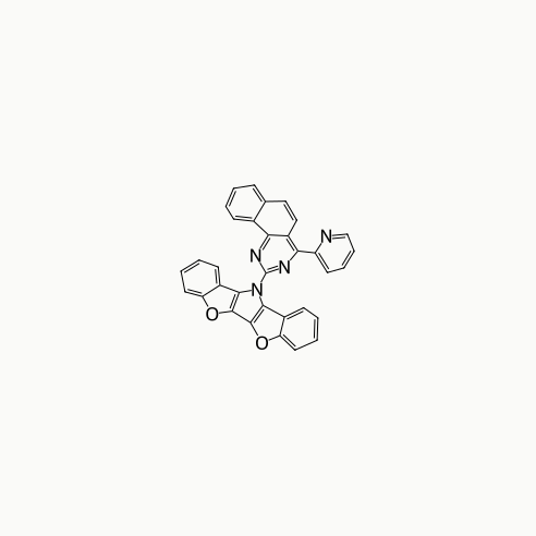 c1ccc(-c2nc(-n3c4c5ccccc5oc4c4oc5ccccc5c43)nc3c2ccc2ccccc23)nc1